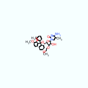 COCCO[C@H]1[C@@H](O)[C@H](n2cc(C)c(N)nc2=O)O[C@@H]1COC(c1ccccc1)(c1ccccc1)c1cccc(OC)c1OC